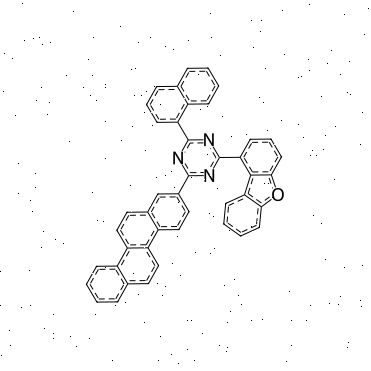 c1ccc2c(-c3nc(-c4ccc5c(ccc6c7ccccc7ccc56)c4)nc(-c4cccc5oc6ccccc6c45)n3)cccc2c1